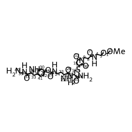 COCOCCNC(=O)CCN1C(=O)CC(SC[C@H](NC(=O)[C@@H](N)CCNC(=O)Oc2ccc(C[C@H](N)C(=O)NCN)cc2)C(N)=O)C1=O